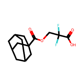 O=C(O)C(F)(F)COC(=O)C12CC3CC(CC(C3)C1)C2